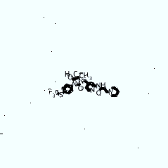 CC1(C)C(=O)N(c2ccc(SC(F)(F)F)cc2)C(=O)N1Cc1ccnc(NC(=O)CCN2CCCCC2)c1